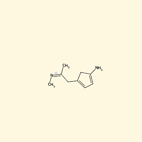 C/N=C(/C)CC1=CC=C(N)C1